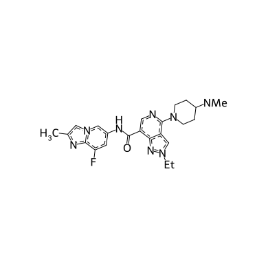 CCn1cc2c(N3CCC(NC)CC3)ncc(C(=O)Nc3cc(F)c4nc(C)cn4c3)c2n1